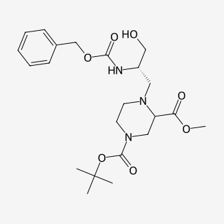 COC(=O)C1CN(C(=O)OC(C)(C)C)CCN1C[C@@H](CO)NC(=O)OCc1ccccc1